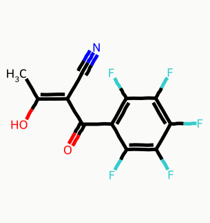 CC(O)=C(C#N)C(=O)c1c(F)c(F)c(F)c(F)c1F